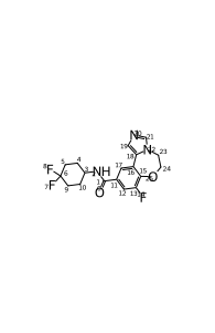 O=C(NC1CCC(F)(F)CC1)c1cc(F)c2c(c1)-c1cncn1CCO2